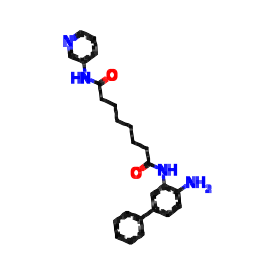 Nc1ccc(-c2ccccc2)cc1NC(=O)CCCCCCC(=O)Nc1cccnc1